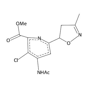 COC(=O)c1nc(C2CC(C)=NO2)cc(NC(C)=O)c1Cl